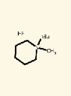 CCCC[N+]1(C)CCCCC1.F